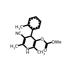 COC(=O)OC1=C(C)NC(C)=C(C#N)C1c1ccccc1C